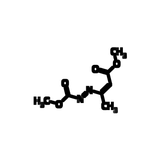 COC(=O)/C=C(C)\N=N\C(=O)OC